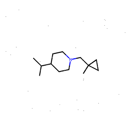 CC(C)C1CCN(CC2(C)CC2)CC1